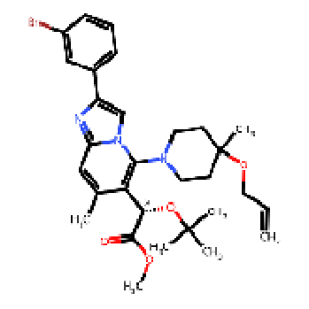 C=CCOC1(C)CCN(c2c([C@H](OC(C)(C)C)C(=O)OC)c(C)cc3nc(-c4cccc(Br)c4)cn23)CC1